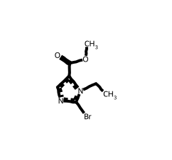 CCn1c(C(=O)OC)cnc1Br